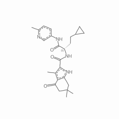 Cc1ccc(NC(=O)[C@H](CCC2CC2)NC(=O)c2[nH]c3c(c2C)C(=O)CC(C)(C)C3)cn1